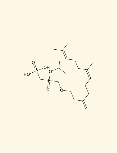 C=C(CCC=C(C)CCC=C(C)C)CCOCP(=O)(CP(=O)(O)O)OC(C)C